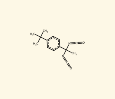 CC(C)(C)c1ccc(C(C)(N=C=O)N=C=O)cc1